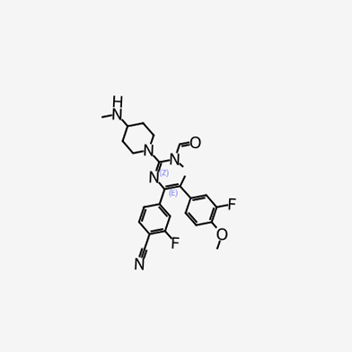 CNC1CCN(/C(=N/C(=C(\C)c2ccc(OC)c(F)c2)c2ccc(C#N)c(F)c2)N(C)C=O)CC1